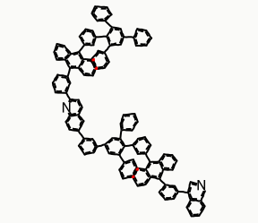 c1ccc(-c2cc(-c3ccccc3)c(-c3cccc(-c4c5ccccc5c(-c5cccc(-c6ccc7cc(-c8cccc(-c9cc(-c%10ccccc%10)c(-c%10cccc(-c%11c%12ccccc%12c(-c%12cccc(-c%13cncc%14ccccc%13%14)c%12)c%12ccccc%11%12)c%10)c(-c%10ccccc%10)c9)c8)ccc7n6)c5)c5ccccc45)c3)c(-c3ccccc3)c2)cc1